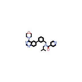 CC(C)CN(Cc1cccc(-c2ccc3ncnc(N4CCOCC4)c3c2)c1)C(=O)c1ccncc1